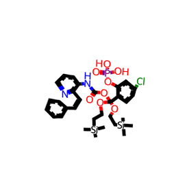 C[Si](C)(C)CCOC(OCC[Si](C)(C)C)(OC(=O)Nc1cccnc1C=Cc1ccccc1)c1ccc(Cl)cc1OP(=O)(O)O